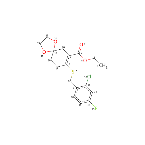 CCOC(=O)C1=C(SCc2ccc(F)cc2Cl)CCC2(C1)OCCO2